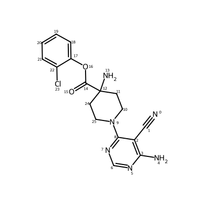 N#Cc1c(N)ncnc1N1CCC(N)(C(=O)Oc2ccccc2Cl)CC1